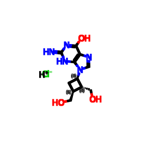 N=c1nc(O)c2ncn([C@@H]3C[C@H](CO)[C@H]3CO)c2[nH]1.[Cl-].[H+]